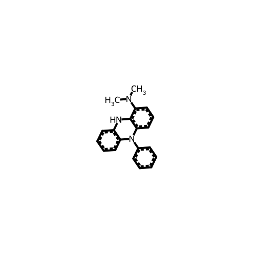 CN(C)c1cccc2c1Nc1ccccc1N2c1ccccc1